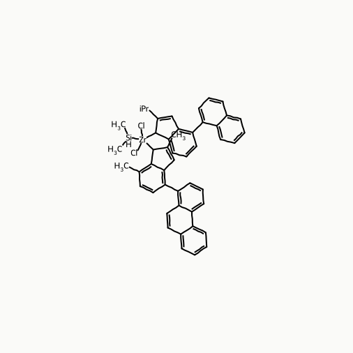 CC1=Cc2c(-c3cccc4c3ccc3ccccc34)ccc(C)c2[CH]1[Zr]([Cl])([Cl])([CH]1C(C(C)C)=Cc2c(-c3cccc4ccccc34)cccc21)[SiH](C)C